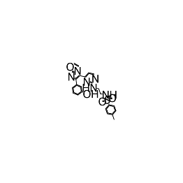 Cc1ccc(S(=O)(=O)NCCNc2nccc(-c3c(-c4cccc(O)c4)nc4occn34)n2)cc1